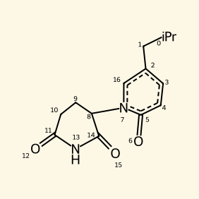 CC(C)Cc1ccc(=O)n(C2CCC(=O)NC2=O)c1